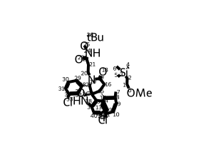 COCC[Si](C)(C)C.Cc1ccc(F)cc1[C@H]1CC(=O)N(CCC(=O)NOC(C)(C)C)[C@@H](c2cccc(Cl)c2)[C@]12C(=O)Nc1cc(Cl)ccc12